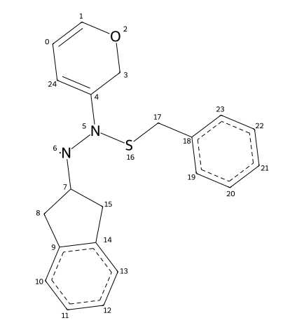 C1=COCC(N([N]C2Cc3ccccc3C2)SCc2ccccc2)=C1